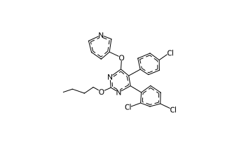 CCCCOc1nc(Oc2cccnc2)c(-c2ccc(Cl)cc2)c(-c2ccc(Cl)cc2Cl)n1